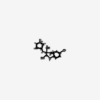 CCC(Oc1ccc(Cl)cc1)C(O)(Cc1nc[nH]n1)C(C)(C)C